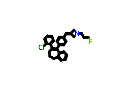 FCCCN1CC(=Cc2ccc(C3=C(c4ccccc4Cl)CCCc4ccccc43)cc2)C1